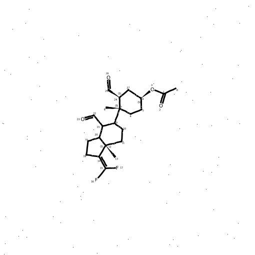 CC(=O)O[C@H]1CC[C@](C)(C2CC[C@]3(C)C(=C(F)F)CCC3C2C=O)[C@@H](C=O)C1